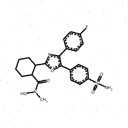 CN(O)C(=O)C1CCCCC1c1nc(-c2ccc(F)cc2)c(-c2ccc(S(N)(=O)=O)cc2)o1